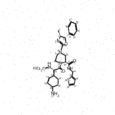 C[C@@H]1N=C(N2CCN(C(=O)[C@H](NC(=O)O)C3CCC(N)CC3)[C@H](C(=O)NCc3cccs3)C2)O[C@H]1c1ccccc1